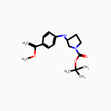 C=C(OC)c1ccc(NC2CCN(C(=O)OC(C)(C)C)C2)cc1